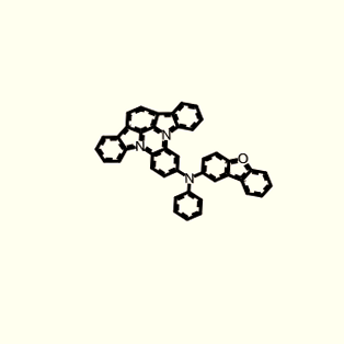 c1ccc(N(c2ccc3oc4ccccc4c3c2)c2ccc3c(c2)n2c4ccccc4c4ccc5c6ccccc6n3c5c42)cc1